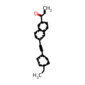 C=CC(=O)c1ccc2cc(C#Cc3ccc(CC)cc3)ccc2c1